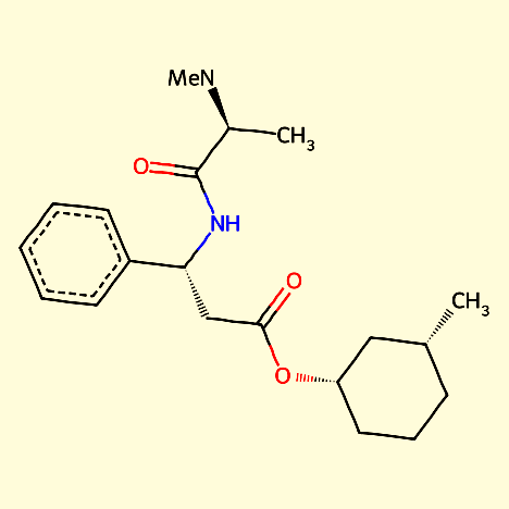 CN[C@@H](C)C(=O)N[C@H](CC(=O)O[C@H]1CCC[C@@H](C)C1)c1ccccc1